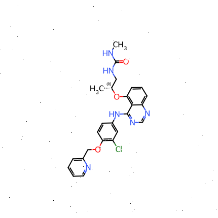 CNC(=O)NC[C@@H](C)Oc1cccc2ncnc(Nc3ccc(OCc4ccccn4)c(Cl)c3)c12